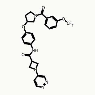 O=C(Nc1ccc(OC2CCN(C(=O)c3cccc(OC(F)(F)F)c3)C2)cc1)C1CN(c2ccnnc2)C1